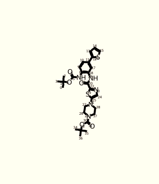 CC(C)(C)OC(=O)Nc1ccc(-c2cccs2)cc1NC(=O)c1ncc(N2CCN(C(=O)OC(C)(C)C)CC2)s1